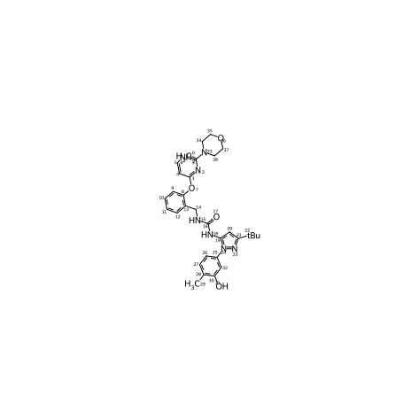 C=C(/N=C(\C=C/N)Oc1ccccc1CNC(=O)Nc1cc(C(C)(C)C)nn1-c1ccc(C)c(O)c1)N1CCOCC1